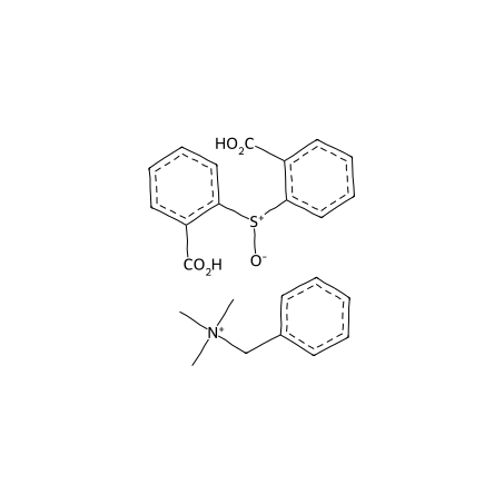 C[N+](C)(C)Cc1ccccc1.O=C(O)c1ccccc1[S+]([O-])c1ccccc1C(=O)O